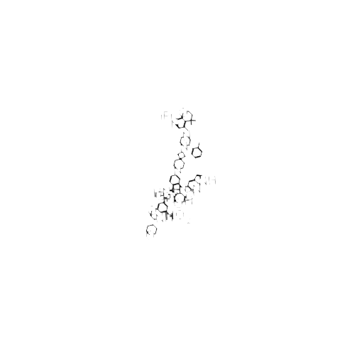 Cc1ccccc1[C@@H]1CN([C@@H](C)c2cnc(C(C)C)c3c2C(C)(C)CCO3)CCN1C1CC2(CCN(c3ccc(C(=O)NS(=O)(=O)c4cc5c(c([N+](=O)[O-])c4)N[C@H](C4CCOCC4)CO5)c(N4c5cc6cc[nH]c6nc5O[C@H]5COCC[C@@H]54)c3)CC2)C1